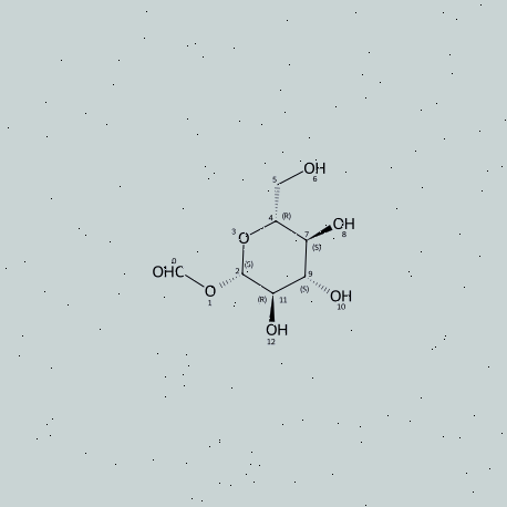 O=CO[C@@H]1O[C@H](CO)[C@@H](O)[C@H](O)[C@H]1O